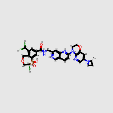 C[C@@H]1CCN1c1cnc2c(c1)OCCN2c1ccc2cnc(CNC(=O)c3cc(C(F)F)c4c(c3)S(=O)(=O)[C@@H](F)COC4)cc2n1